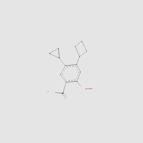 COC(=O)c1cc(C2CC2)c(C2CCC2)cc1OC(C)C